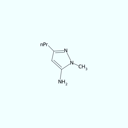 CCCc1cc(N)n(C)n1